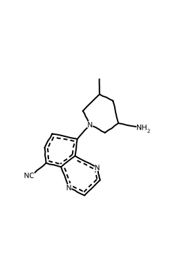 CC1CC(N)CN(c2ccc(C#N)c3nccnc23)C1